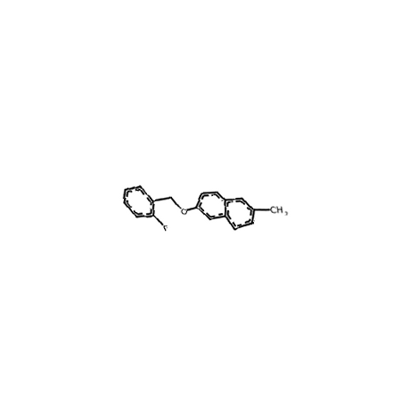 Cc1ccc2cc(OCc3ccccc3F)ccc2c1